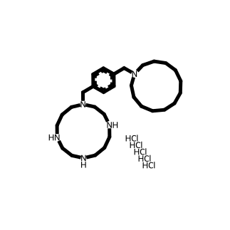 Cl.Cl.Cl.Cl.Cl.c1cc(CN2CCCNCCNCCCNCC2)ccc1CN1CCCCCCCCCCCC1